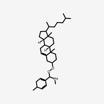 CPC(OOC1CCC2(C)C(=CCC3[C@@H]2CCC2(C)C(C(C)CCCC(C)C)CC[C@@H]32)C1)C1=CCC(C)C=C1